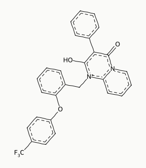 O=c1c(-c2ccccc2)c(O)[n+](Cc2ccccc2Oc2ccc(C(F)(F)F)cc2)c2ccccn12